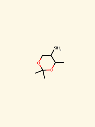 CC1OC(C)(C)OCC1[SiH3]